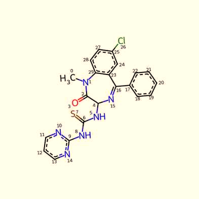 CN1C(=O)C(NC(=S)Nc2ncccn2)N=C(c2ccccc2)c2cc(Cl)ccc21